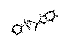 O=C(NS(=O)(=O)c1ccccc1)c1cn2ccccc2n1